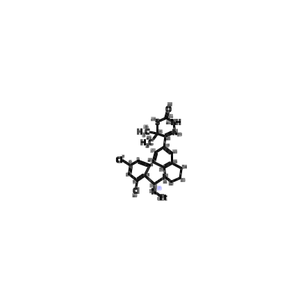 CC/N=C(/c1ccc(Cl)cc1Cl)N1CCCc2cc(C3=NNC(=O)SC3(C)C)ccc21